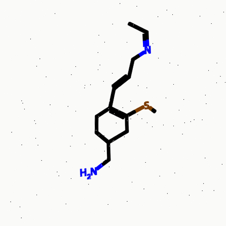 C/C=N\C/C=C/C1=C(SC)CC(CN)CC1